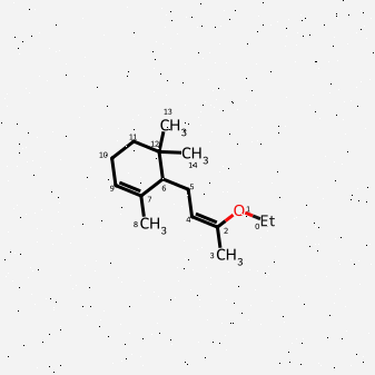 CCOC(C)=CCC1C(C)=CCCC1(C)C